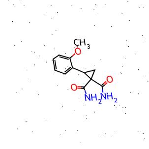 COc1ccccc1C1CC1(C(N)=O)C(N)=O